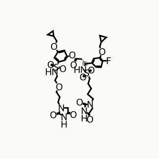 O=C1CN(CCCCCS(=O)(=O)N[C@H](CC(=O)Oc2cc(OCC3CC3)cc(S(=O)(=O)NCCOCCCN3CC(=O)NC3=O)c2)c2ccc(F)c(OCC3CC3)c2)C(=O)N1